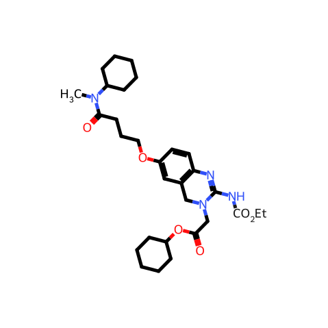 CCOC(=O)NC1=Nc2ccc(OCCCC(=O)N(C)C3CCCCC3)cc2CN1CC(=O)OC1CCCCC1